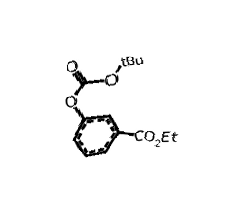 CCOC(=O)c1cccc(OC(=O)OC(C)(C)C)c1